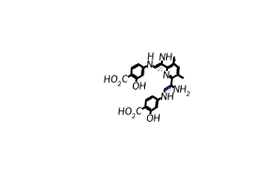 Cc1cc(C)c(/C(N)=C/Nc2ccc(C(=O)O)c(O)c2)nc1/C(N)=C/Nc1ccc(C(=O)O)c(O)c1